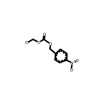 O=C(OCCl)OCc1ccc([N+](=O)[O-])cc1